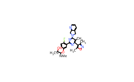 CNC(Oc1ccc(F)c(-c2nc(-c3c(C)noc3C)c(C)c(N3Cc4cccnc4C3)n2)c1)[C@@H](C)O